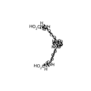 CC(NC(=O)C(C)NC(=O)CCOCCOCCOCCNC(=O)C(C(C(=O)NCCOCCOCCOCCC(=O)NC(C)C(=O)NC(C)C(=O)O)N1C(=O)C=CC1=O)N1C(=O)C=CC1=O)C(=O)O